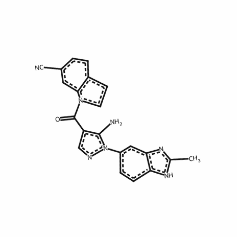 Cc1nc2cc(-n3ncc(C(=O)n4ccc5ccc(C#N)cc54)c3N)ccc2[nH]1